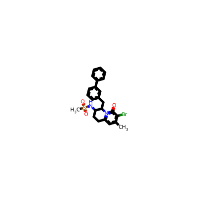 Cc1cc2n(c(=O)c1Br)C(Cc1cccc(-c3ccccc3)c1)C(NS(C)(=O)=O)CC2